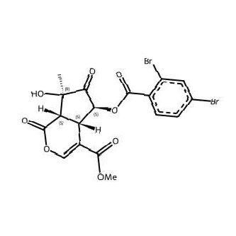 COC(=O)C1=COC(=O)[C@H]2[C@@H]1[C@H](OC(=O)c1ccc(Br)cc1Br)C(=O)[C@]2(C)O